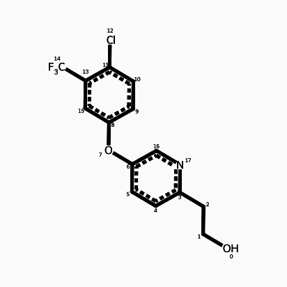 OCCc1ccc(Oc2ccc(Cl)c(C(F)(F)F)c2)cn1